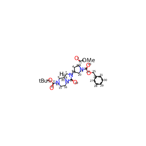 COC(=O)[C@H]1C[C@@H](N2C[C@@H]3CN(C(=O)OC(C)(C)C)CCN3C2=O)CN1C(=O)OCc1ccccc1